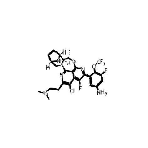 C[C@@H]1Oc2nc(-c3cc(N)cc(F)c3OC(F)(F)F)c(F)c3c(Cl)c(CCN(C)C)nc(c23)N2C[C@H]3CC[C@H](N3)[C@@H]12